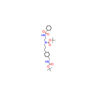 CC(C)(C)OC(=O)NCc1ccc(CCCN(CCNS(=O)(=O)c2ccccc2)C(=O)OC(C)(C)C)cc1